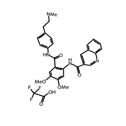 CNCCc1ccc(NC(=O)c2cc(OC)c(OC)cc2NC(=O)c2cnc3ccccc3c2)cc1.O=C(O)C(F)(F)F